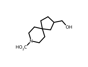 O=C(O)N1CCC2(CCC(CO)C2)CC1